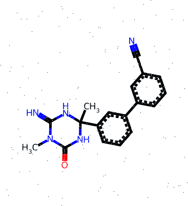 CN1C(=N)NC(C)(c2cccc(-c3cccc(C#N)c3)c2)NC1=O